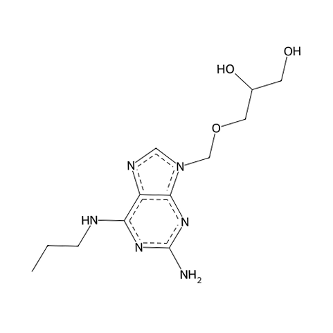 CCCNc1nc(N)nc2c1ncn2COCC(O)CO